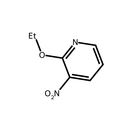 CCOc1ncccc1[N+](=O)[O-]